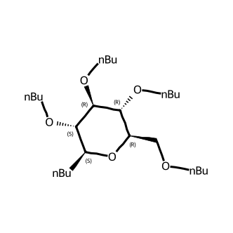 CCCCOC[C@H]1O[C@@H](CCCC)[C@H](OCCCC)[C@@H](OCCCC)[C@@H]1OCCCC